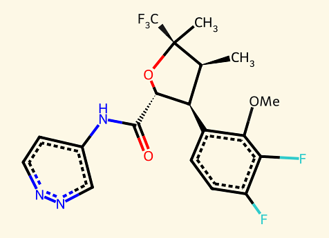 COc1c([C@H]2[C@H](C(=O)Nc3ccnnc3)O[C@@](C)(C(F)(F)F)[C@H]2C)ccc(F)c1F